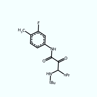 CCCC(NC(C)(C)C)C(=O)C(=O)Nc1ccc(C)c(F)c1